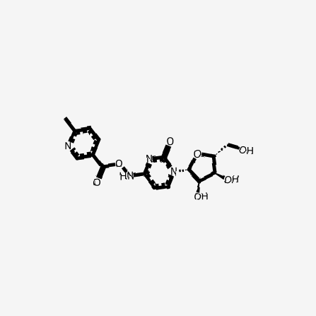 Cc1ccc(C(=O)ONc2ccn([C@@H]3O[C@H](CO)[C@@H](O)[C@H]3O)c(=O)n2)cn1